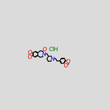 Cl.O=C1Cc2cc3c(cc2CCN1CC1CCCN(CCc2ccc4c(c2)OCO4)C1)OCO3